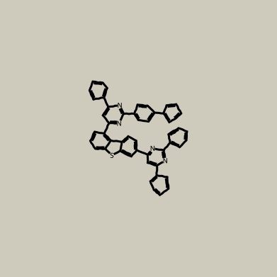 c1ccc(-c2ccc(-c3nc(-c4ccccc4)cc(-c4cccc5sc6cc(-c7cc(-c8ccccc8)nc(-c8ccccc8)n7)ccc6c45)n3)cc2)cc1